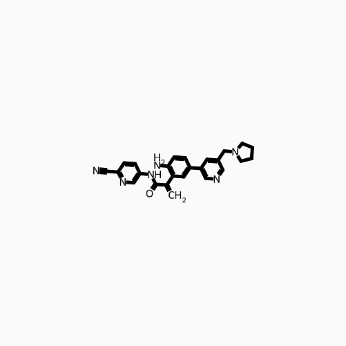 C=C(C(=O)Nc1ccc(C#N)nc1)c1cc(-c2cncc(CN3CCCC3)c2)ccc1N